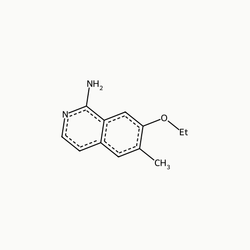 CCOc1cc2c(N)nccc2cc1C